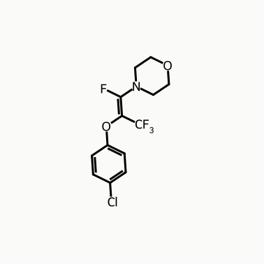 F/C(=C(\Oc1ccc(Cl)cc1)C(F)(F)F)N1CCOCC1